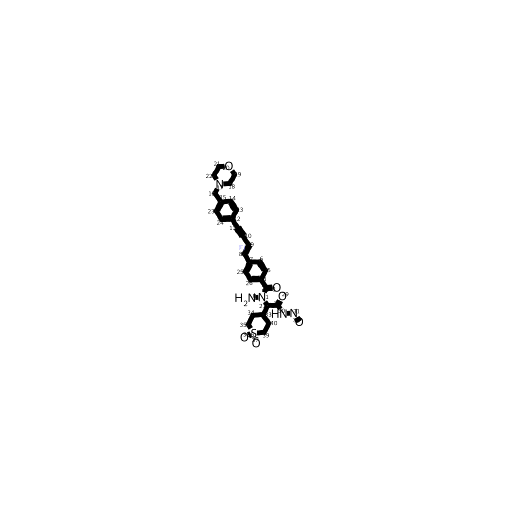 NN(C(=O)c1ccc(/C=C/C#Cc2ccc(CN3CCOCC3)cc2)cc1)C(C(=O)NN=O)C1CCS(=O)(=O)CC1